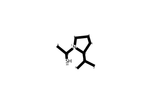 CC(C)C1CCCN1C(C)S